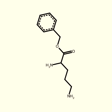 NCCCC(N)C(=O)OCc1ccccc1